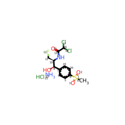 CS(=O)(=O)c1ccc([C@@H](O)[C@@H](CF)NC(=O)C(Cl)Cl)cc1.Cl.N